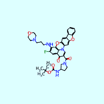 CC(C)(C)OC(=O)NC1CCN(C(=O)c2cn3c4c(c(NCCCN5CCOCC5)c(F)cc4c2=O)Oc2cc4c(cc2-3)oc2ccccc24)C1